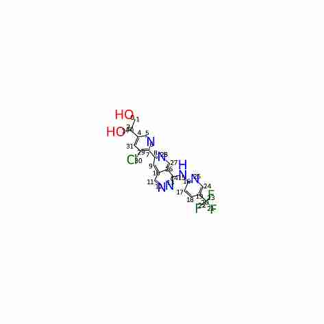 OC[C@H](O)c1cnc(-c2cc3cnnc(Nc4ccc(C(F)(F)F)cn4)c3cn2)c(Cl)c1